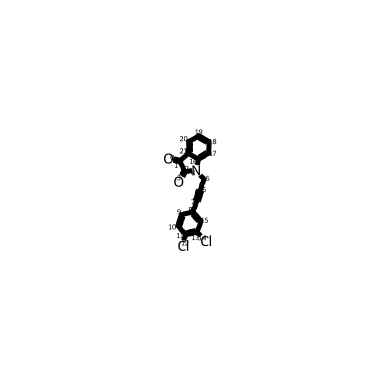 O=C1C(=O)N(CC#Cc2ccc(Cl)c(Cl)c2)c2ccccc21